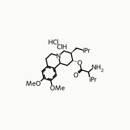 COc1cc2c(cc1OC)C1C[C@@H](OC(=O)C(N)C(C)C)[C@H](CC(C)C)CN1CC2.Cl.Cl